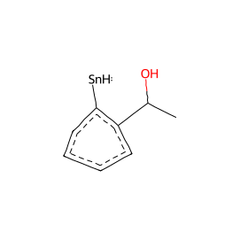 CC(O)c1cccc[c]1[SnH]